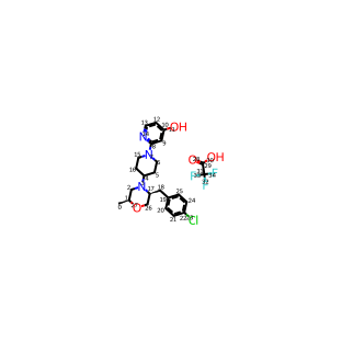 C[C@H]1CN(C2CCN(c3cc(O)ccn3)CC2)[C@@H](Cc2ccc(Cl)cc2)CO1.O=C(O)C(F)(F)F